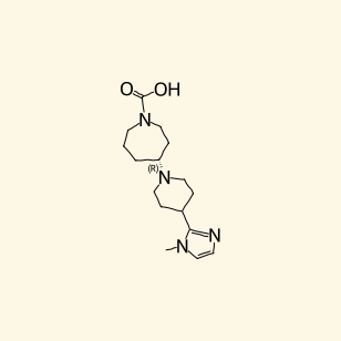 Cn1ccnc1C1CCN([C@@H]2CCCN(C(=O)O)CC2)CC1